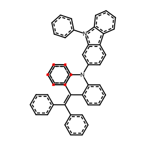 c1ccc(C(=C(c2ccccc2)c2ccccc2N(c2ccccc2)c2ccc3c4ccccc4n(-c4ccccc4)c3c2)c2ccccc2)cc1